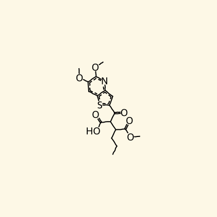 CCCC(C(=O)OC)C(C(=O)O)C(=O)c1cc2nc(OC)c(OC)cc2s1